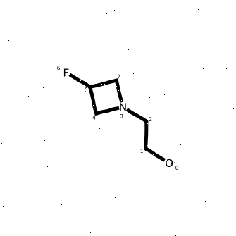 [O]CCN1CC(F)C1